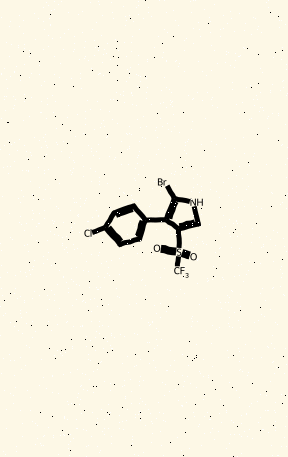 O=S(=O)(c1c[nH]c(Br)c1-c1ccc(Cl)cc1)C(F)(F)F